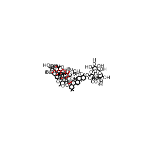 CC[C@H](C)[C@H](C[C@H](O)CC(=O)O[C@@H]1C(C)O[C@@H](OC(=O)[C@]23CCC(C)(C)CC2C2=CCC4[C@@]5(C)CC[C@H](O[C@@H]6OC(C(=O)O)[C@H](O)C(O[C@@H]7OC[C@@H](O)C(O)C7O)C6O[C@@H]6OC(CO)[C@H](O)C(O)C6O)[C@@](C)(C=O)C5CC[C@@]4(C)[C@]2(C)C[C@H]3O)C(O[C@@H]2OC(C)[C@H](O[C@H]3OCC(O)[C@H](O[C@@H]4OCC(O)(CO)C4O)C3O)C(O)[C@@H]2O)C1O)OC(=O)C[C@@H](O)C[C@H](O[C@@H]1O[C@@H](CO)C(O)C1O)[C@@H](C)CC